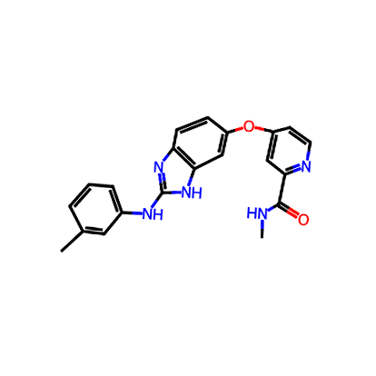 CNC(=O)c1cc(Oc2ccc3nc(Nc4cccc(C)c4)[nH]c3c2)ccn1